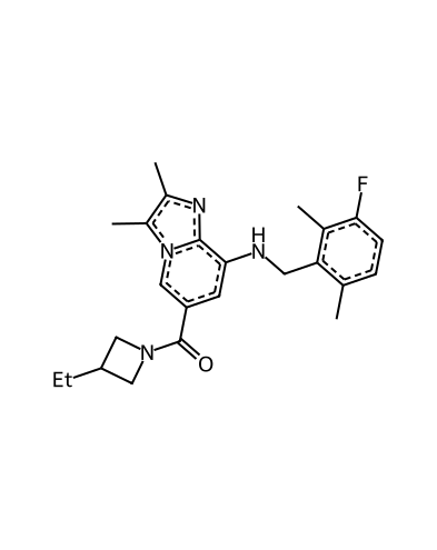 CCC1CN(C(=O)c2cc(NCc3c(C)ccc(F)c3C)c3nc(C)c(C)n3c2)C1